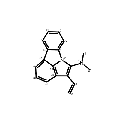 C=Cc1c(N(C)C)n2c3ccccc3c3cccc1c32